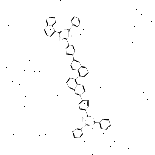 c1ccc(-c2nc(-c3ccccc3)nc(-c3ccc(-c4ccc5c(-c6cccc7cc(-c8ccc(-c9nc(-c%10ccccc%10)nc(-c%10cccc%11ccccc%10%11)n9)cc8)ccc67)cccc5c4)cc3)n2)cc1